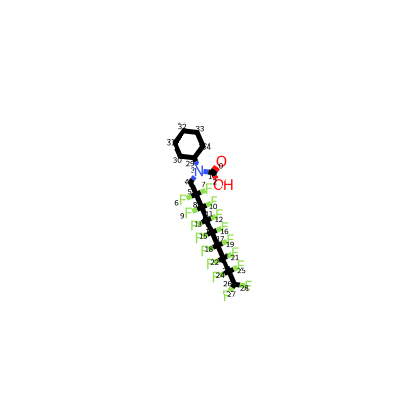 O=C(O)N(CC(F)(F)C(F)(F)C(F)(F)C(F)(F)C(F)(F)C(F)(F)C(F)(F)C(F)F)C1CCCCC1